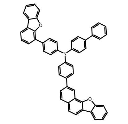 c1ccc(-c2ccc(N(c3ccc(-c4ccc5ccc6c7ccccc7oc6c5c4)cc3)c3ccc(-c4cccc5c4oc4ccccc45)cc3)cc2)cc1